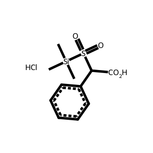 C[Si](C)(C)S(=O)(=O)C(C(=O)O)c1ccccc1.Cl